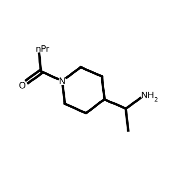 CCCC(=O)N1CCC(C(C)N)CC1